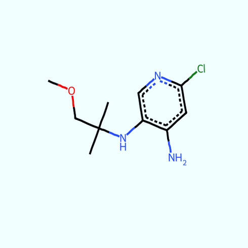 COCC(C)(C)Nc1cnc(Cl)cc1N